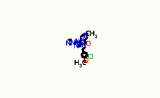 COc1ccc(CCNC(=O)C2CN(C)CCN2c2ccnc(-n3ccnc3)n2)cc1Cl